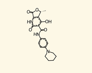 C[C@H]1OC(=O)c2[nH]c(=O)c(C(=O)Nc3ccc(N4CCCCC4)cc3)c(O)c21